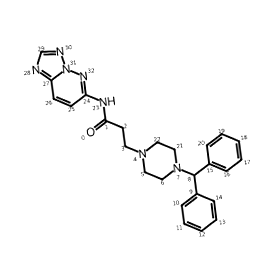 O=C(CCN1CCN(C(c2ccccc2)c2ccccc2)CC1)Nc1ccc2ncnn2n1